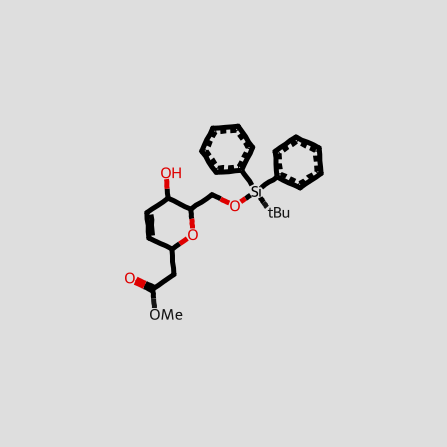 COC(=O)CC1C=CC(O)C(CO[Si](c2ccccc2)(c2ccccc2)C(C)(C)C)O1